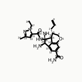 C=CC[C@@H]1COc2cc(C(N)=O)cc3c2C1[C@@](N)(NC(=O)c1cc(C)nn1CC)C3N